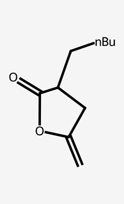 C=C1CC(CCCCC)C(=O)O1